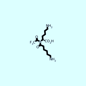 NCCCCCC(=O)N(C(=O)C(F)(F)F)[C@@H](CCCCN)C(=O)O